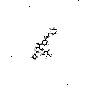 CC1=C(Nc2nc(-c3cccs3)nc3scc(-c4cccc(OCCN5CCOCC5)c4)c23)C(=O)NC1=O